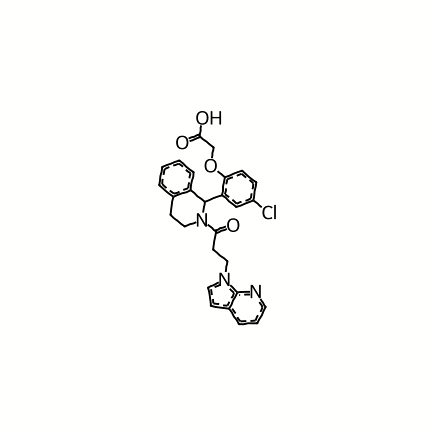 O=C(O)COc1ccc(Cl)cc1C1c2ccccc2CCN1C(=O)CCn1ccc2cccnc21